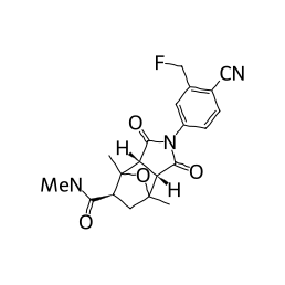 CNC(=O)[C@@H]1CC2(C)OC1(C)[C@@H]1C(=O)N(c3ccc(C#N)c(CF)c3)C(=O)[C@@H]12